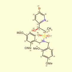 COc1ccc(CN(Cc2ccc(OC)cc2OC)S(=O)(=O)[C@@H](C)[C@@H](O)c2ccc(Br)cn2)c(OC)c1